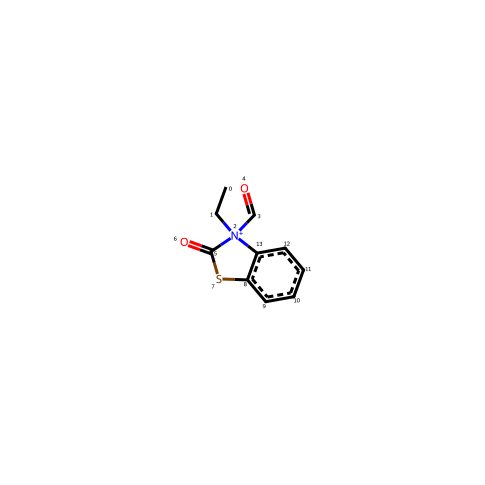 CC[N+]1(C=O)C(=O)Sc2ccccc21